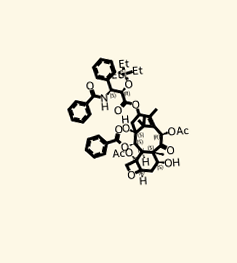 CC[Si](CC)(CC)O[C@@H](C(=O)OC1C[C@@]2(O)[C@@H](OC(=O)c3ccccc3)[C@@H]3[C@]4(OC(C)=O)CO[C@@H]4C[C@H](O)[C@@]3(C)C(=O)[C@H](OC(C)=O)C(=C1C)C2(C)C)[C@@H](NC(=O)c1ccccc1)c1ccccc1